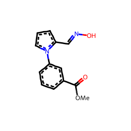 COC(=O)c1cccc(-n2cccc2C=NO)c1